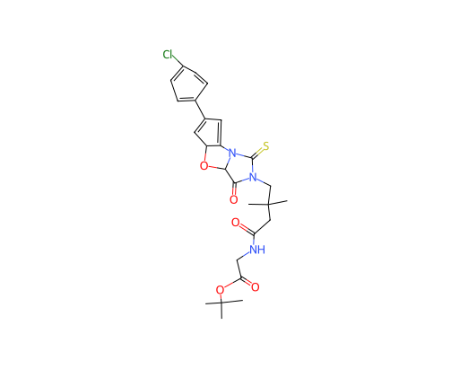 CC(C)(CC(=O)NCC(=O)OC(C)(C)C)CN1C(=O)C2OC3C=C(c4ccc(Cl)cc4)C=C3N2C1=S